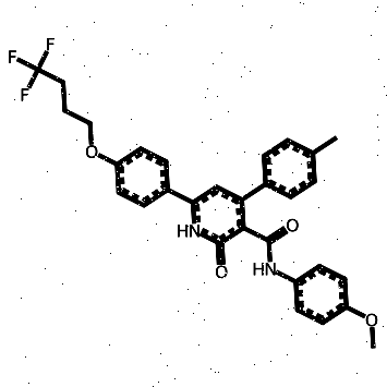 COc1ccc(NC(=O)c2c(-c3ccc(C)cc3)cc(-c3ccc(OCCCC(F)(F)F)cc3)[nH]c2=O)cc1